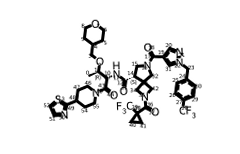 C[C@@H](OCC1CCOCC1)[C@H](NC(=O)[C@@H]1CN(C(=O)c2cnn(Cc3ccc(C(F)(F)F)cc3)c2)CC12CN(C(=O)C1(C(F)(F)F)CC1)C2)C(=O)N1CCC(c2nccs2)CC1